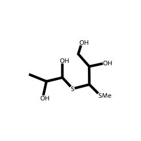 CSC(SC(O)C(C)O)C(O)CO